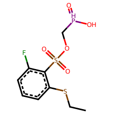 CCSc1cccc(F)c1S(=O)(=O)OC[PH](=O)O